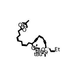 CC/C=C\C[C@@H](C#C/C=C\C#CC(C/C=C\C/C=C\CCC12OCC(C)(CO1)CO2)O[Si](C)(C)C(C)(C)C)O[Si](C)(C)C(C)(C)C